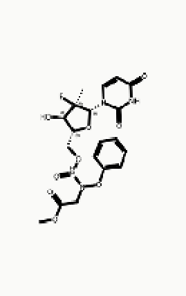 COC(=O)CN(Oc1ccccc1)[PH](=O)OC[C@H]1O[C@@H](n2ccc(=O)[nH]c2=O)[C@](C)(F)[C@@H]1O